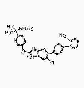 CC(=O)NC(C)(C)c1ccc(Oc2nc3nc(-c4ccc(-c5ccccc5O)cc4)c(Cl)cc3[nH]2)cn1